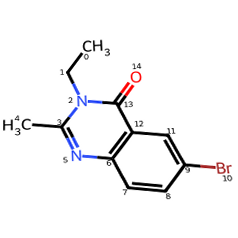 CCn1c(C)nc2ccc(Br)cc2c1=O